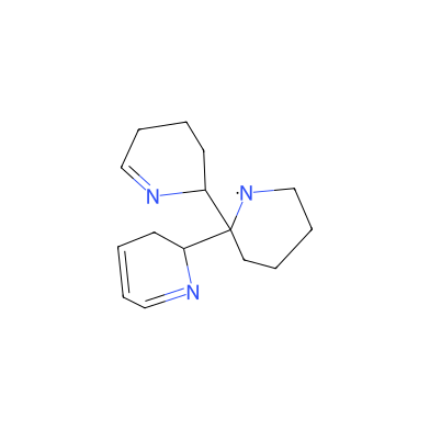 C1=CCC(C2(C3CCCC=N3)CCCC[N]2)N=C1